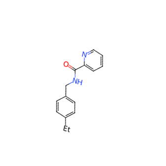 CCc1ccc(CNC(=O)c2ccccn2)cc1